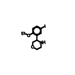 CCOc1ccc(I)cc1C1COCCN1